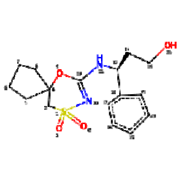 O=S1(=O)CC2(CCCC2)OC(N[C@@H](CCO)c2ccccc2)=N1